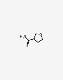 NC(=S)N1CCSC1